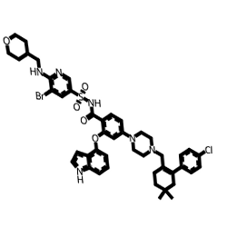 CC1(C)CCC(CN2CCN(c3ccc(C(=O)NS(=O)(=O)c4cnc(NCC5CCOCC5)c(Br)c4)c(Oc4cccc5[nH]ccc45)c3)CC2)=C(c2ccc(Cl)cc2)C1